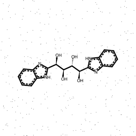 O[C@H]([C@H](O)[C@H](O)c1nc2ccccc2[nH]1)[C@H](O)c1nc2ccccc2[nH]1